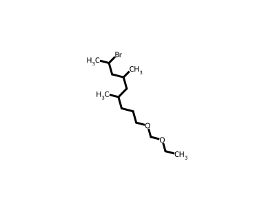 CCOCOCCCC(C)CC(C)CC(C)Br